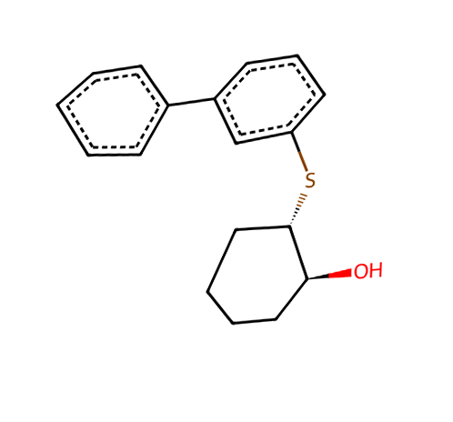 O[C@H]1CCCC[C@@H]1Sc1cccc(-c2ccccc2)c1